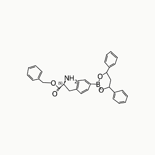 N[C@@H](Cc1ccc(B2OC(c3ccccc3)CC(c3ccccc3)O2)cc1)C(=O)OCc1ccccc1